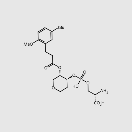 COc1ccc(C(C)(C)C)cc1CCC(=O)O[C@H]1COCC[C@@H]1OP(=O)(O)OC[C@H](N)C(=O)O